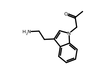 CC(=O)Cn1cc(CCN)c2ccccc21